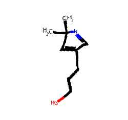 CC1(C)C=C(CCCO)C=N1